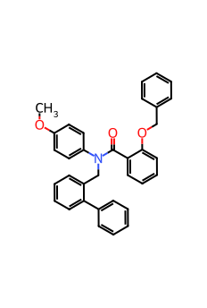 COc1ccc(N(Cc2ccccc2-c2ccccc2)C(=O)c2ccccc2OCc2ccccc2)cc1